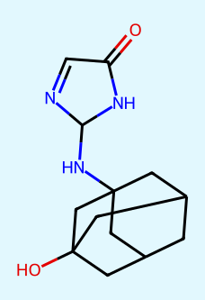 O=C1C=NC(NC23CC4CC(CC(O)(C4)C2)C3)N1